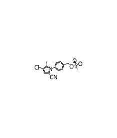 Cc1c(Cl)cc(C#N)n1-c1ccc(COS(C)(=O)=O)cc1